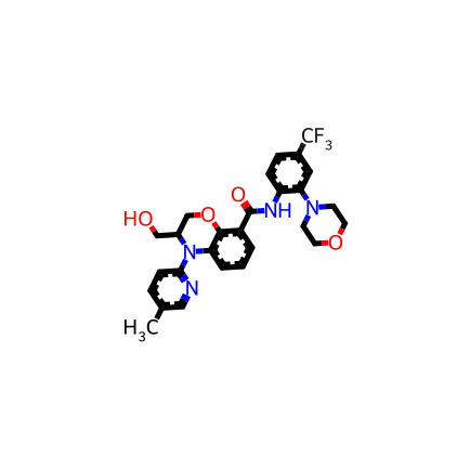 Cc1ccc(N2c3cccc(C(=O)Nc4ccc(C(F)(F)F)cc4N4CCOCC4)c3OCC2CO)nc1